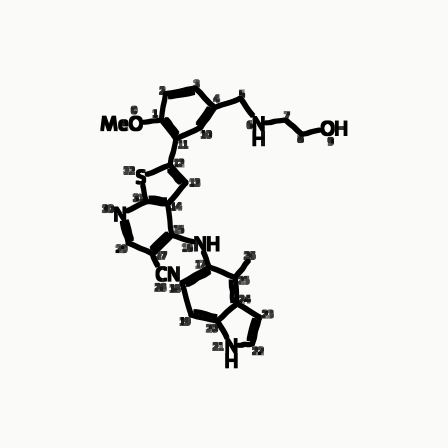 COc1ccc(CNCCO)cc1-c1cc2c(Nc3ccc4[nH]ccc4c3C)c(C#N)cnc2s1